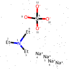 CCN(CC)CC.[Na+].[Na+].[Na+].[Na+].[O-][Si]([O-])([O-])[O-]